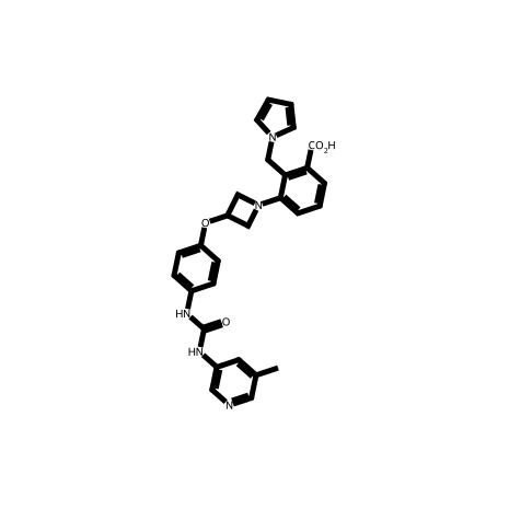 Cc1cncc(NC(=O)Nc2ccc(OC3CN(c4cccc(C(=O)O)c4Cn4cccc4)C3)cc2)c1